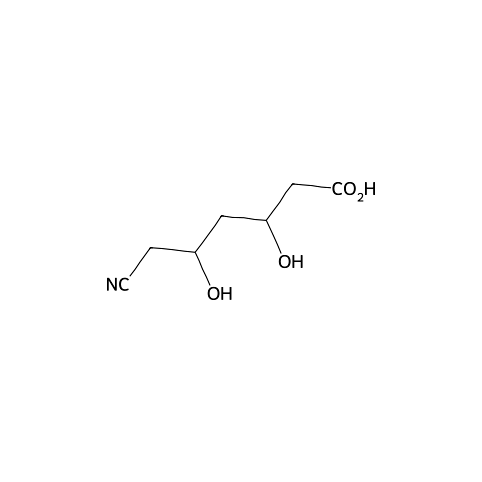 N#CCC(O)CC(O)CC(=O)O